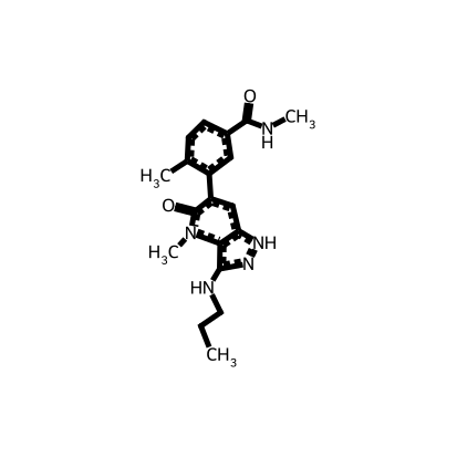 CCCNc1n[nH]c2cc(-c3cc(C(=O)NC)ccc3C)c(=O)n(C)c12